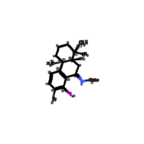 CON=C1C[C@H]2[C@](C)(C(=O)O)CCC[C@]2(C)c2ccc(C(C)C)c(I)c21